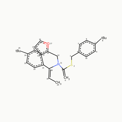 C=C(SCc1ccc(C(C)(C)C)cc1)N(Cc1ccco1)/C(=C\C)c1ccc(C(C)(C)C)cc1